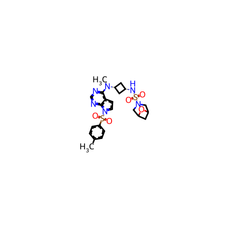 Cc1ccc(S(=O)(=O)n2ccc3c(N(C)[C@H]4C[C@@H](NS(=O)(=O)N5CC6CC(C5)O6)C4)ncnc32)cc1